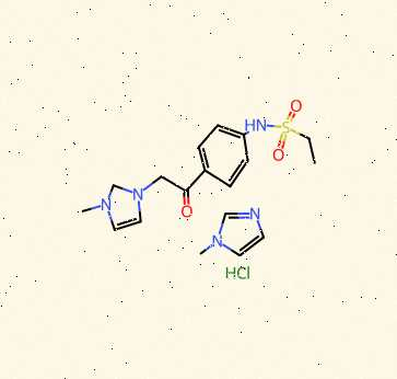 CCS(=O)(=O)Nc1ccc(C(=O)CN2C=CN(C)C2)cc1.Cl.Cn1ccnc1